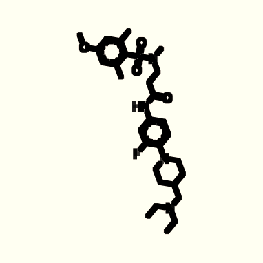 CCN(CC)CC1CCN(c2ccc(NC(=O)CCN(C)S(=O)(=O)c3c(C)cc(OC)cc3C)cc2F)CC1